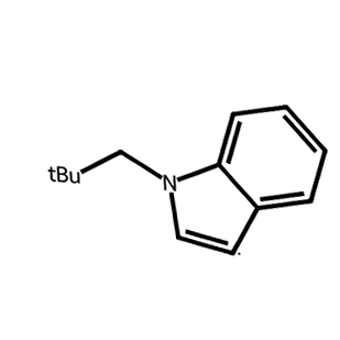 CC(C)(C)Cn1c[c]c2ccccc21